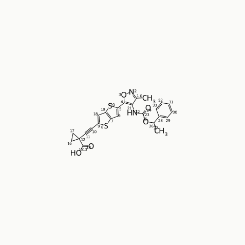 Cc1noc(-c2cc3sc(C#CC4(C(=O)O)CC4)cc3s2)c1NC(=O)O[C@H](C)c1ccccc1